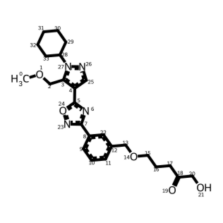 COCc1c(-c2nc(-c3cccc(COCCCC(=O)CO)c3)no2)cnn1C1CCCCC1